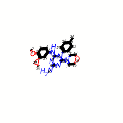 COc1ccc(NC2N=C(N)N=C(N3CCOCC3)N2c2ccc(C)cc2)cc1OC